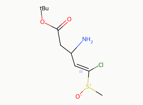 C[S+]([O-])/C(Cl)=C/C(N)CC(=O)OC(C)(C)C